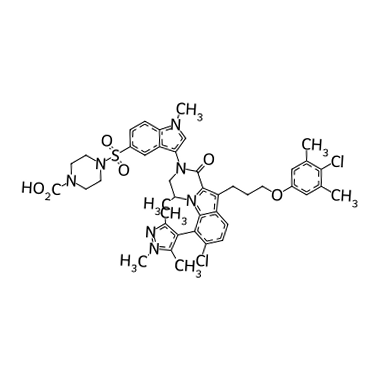 Cc1cc(OCCCc2c3n(c4c(-c5c(C)nn(C)c5C)c(Cl)ccc24)C(C)CN(c2cn(C)c4ccc(S(=O)(=O)N5CCN(C(=O)O)CC5)cc24)C3=O)cc(C)c1Cl